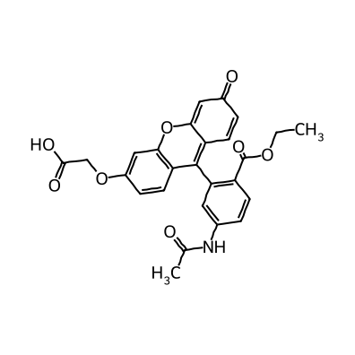 CCOC(=O)c1ccc(NC(C)=O)cc1-c1c2ccc(=O)cc-2oc2cc(OCC(=O)O)ccc12